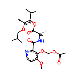 COc1ccnc(C(=O)N[C@@H](C)C(=O)O[C@H](C(C)C)[C@H](C)OCC(C)C)c1OCOC(C)=O